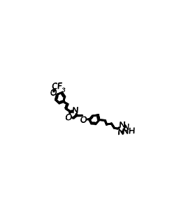 FC(F)(F)Oc1ccc(C=Cc2nc(COc3ccc(CCCCc4nn[nH]n4)cc3)co2)cc1